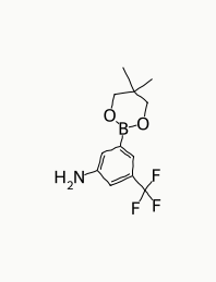 CC1(C)COB(c2cc(N)cc(C(F)(F)F)c2)OC1